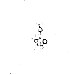 CC(=O)O.CC(C)(C)OC(=O)[C@]1(C(=O)N2CCC[C@H]2C(=O)NCc2ccc(C(=N)N)nc2)NCCC1c1ccccc1